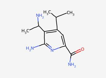 CC(C)c1cc(C(N)=O)nc(N)c1C(C)N